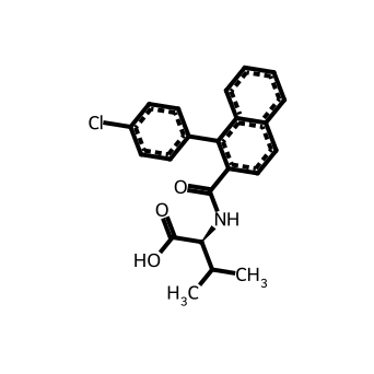 CC(C)[C@H](NC(=O)c1ccc2ccccc2c1-c1ccc(Cl)cc1)C(=O)O